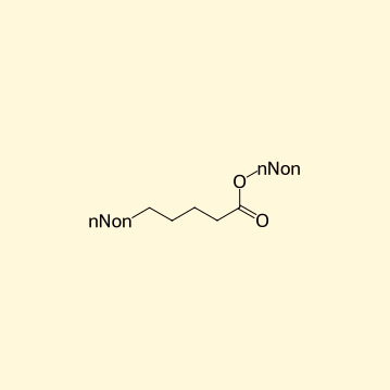 CCCCCCCCCCCCCC(=O)OCCCCCCCCC